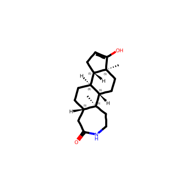 C[C@]12CCNC(=O)C[C@@H]1CC[C@@H]1[C@@H]2CC[C@]2(C)C(O)=CC[C@@H]12